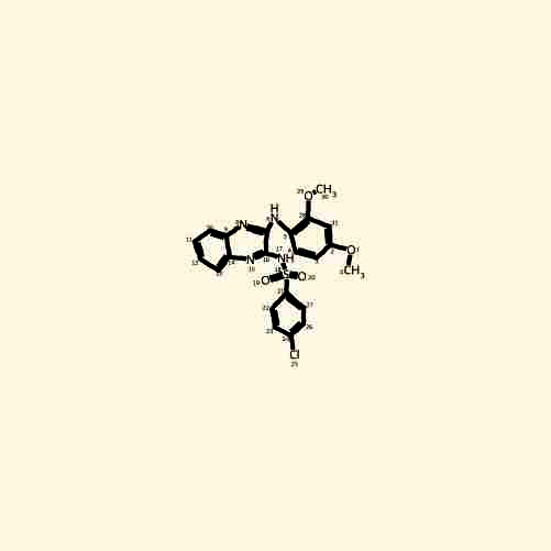 COc1ccc(Nc2nc3ccccc3nc2NS(=O)(=O)c2ccc(Cl)cc2)c(OC)c1